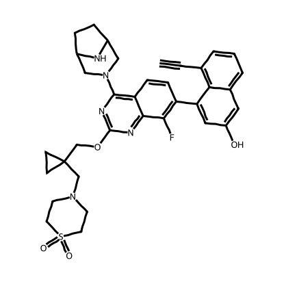 C#Cc1cccc2cc(O)cc(-c3ccc4c(N5CC6CCC(C5)N6)nc(OCC5(CN6CCS(=O)(=O)CC6)CC5)nc4c3F)c12